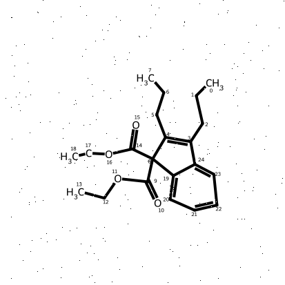 CCCC1=C(CCC)C(C(=O)OCC)(C(=O)OCC)c2ccccc21